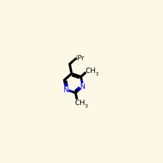 Cc1ncc(CC(C)C)c(C)n1